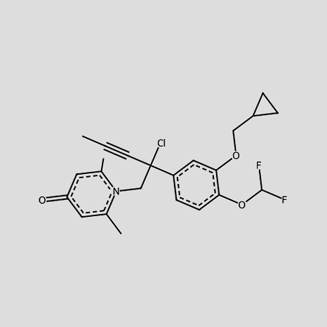 CC#CC(Cl)(Cn1c(C)cc(=O)cc1C)c1ccc(OC(F)F)c(OCC2CC2)c1